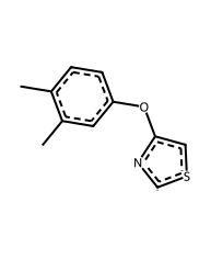 Cc1ccc(Oc2cs[c]n2)cc1C